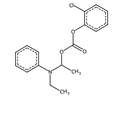 CCN(c1ccccc1)C(C)OC(=O)Oc1ccccc1Cl